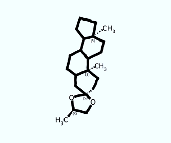 C[C@@H]1CO[C@@]2(CC[C@@]3(C)C(CCC4C5CCC[C@@]5(C)CCC43)C2)O1